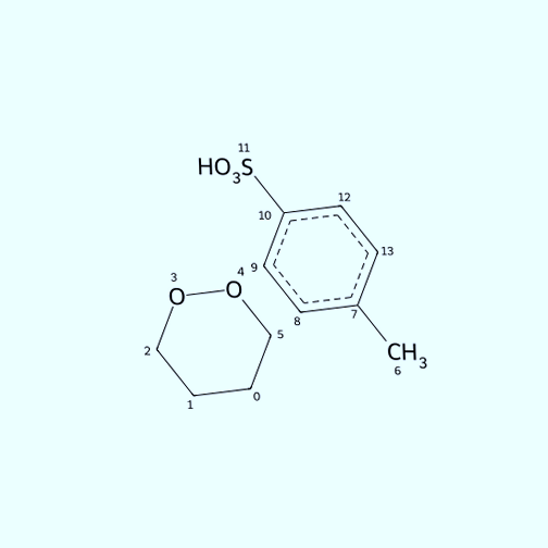 C1CCOOC1.Cc1ccc(S(=O)(=O)O)cc1